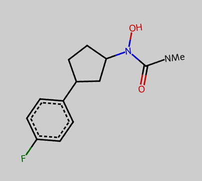 CNC(=O)N(O)C1CCC(c2ccc(F)cc2)C1